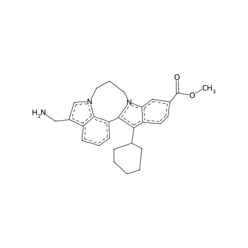 COC(=O)c1ccc2c(C3CCCCC3)c3n(c2c1)CCCn1cc(CN)c2cccc-3c21